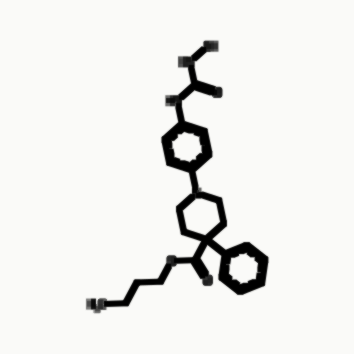 CCCCOC(=O)C1(c2ccccc2)CCN(c2ccc(NC(=O)NS)cc2)CC1